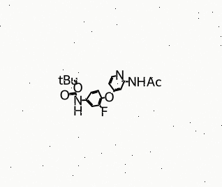 CC(=O)Nc1cc(Oc2ccc(NC(=O)OC(C)(C)C)cc2F)ccn1